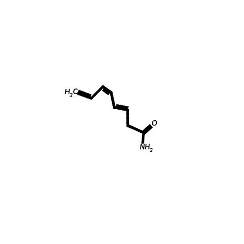 C=C/C=C\C=C\CC(N)=O